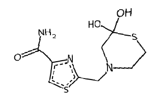 NC(=O)c1csc(CN2CCSC(O)(O)C2)n1